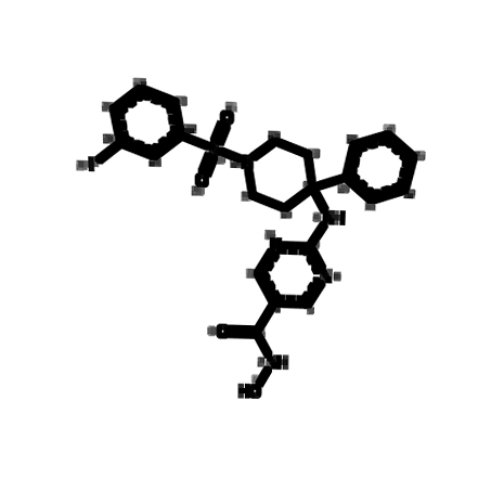 O=C(NO)c1cnc(NC2(c3ccccc3)CCN(S(=O)(=O)c3cccc(F)c3)CC2)nc1